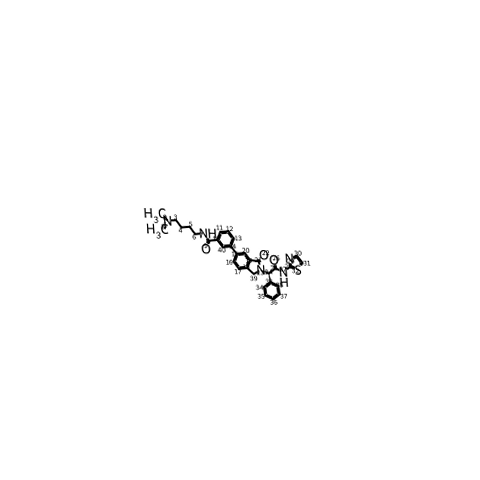 CN(C)CCCCNC(=O)c1cccc(-c2ccc3c(c2)C(=O)N([C@@H](C(=O)Nc2nccs2)c2ccccc2)C3)c1